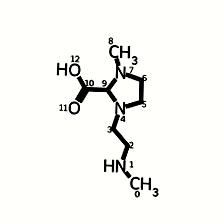 CNCCN1CCN(C)C1C(=O)O